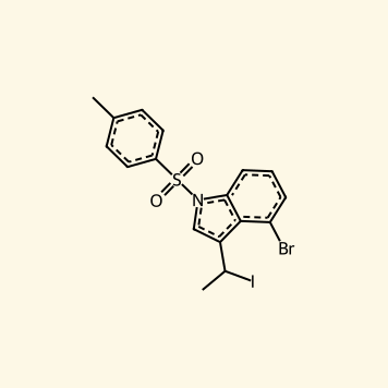 Cc1ccc(S(=O)(=O)n2cc(C(C)I)c3c(Br)cccc32)cc1